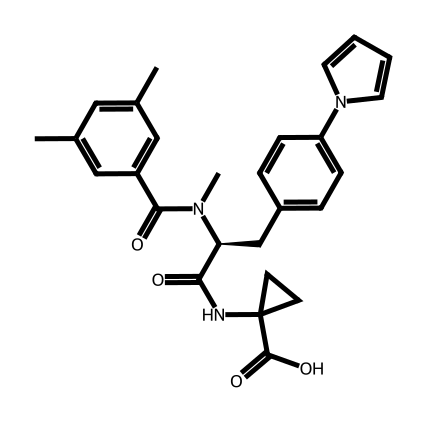 Cc1cc(C)cc(C(=O)N(C)[C@@H](Cc2ccc(-n3cccc3)cc2)C(=O)NC2(C(=O)O)CC2)c1